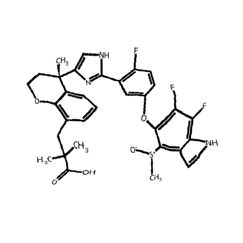 C[S+]([O-])c1c(Oc2ccc(F)c(-c3nc([C@@]4(C)CCOc5c(CC(C)(C)C(=O)O)cccc54)c[nH]3)c2)c(F)c(F)c2[nH]ccc12